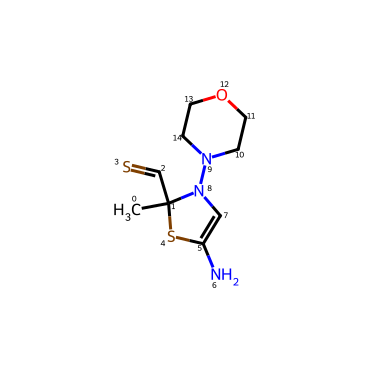 CC1(C=S)SC(N)=CN1N1CCOCC1